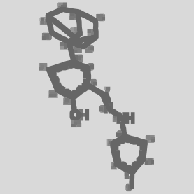 Cc1ccc(NN=Cc2cc(C34CC5CC(CC(C5)C3)C4)ccc2O)cc1